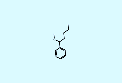 CCCCC(OC)c1cccnc1